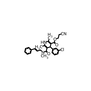 CC1=C(C(=O)OCCC#N)C(c2cccc(Cl)c2)C(C(=O)N(C)CC=Cc2ccccc2)=C(C)N1